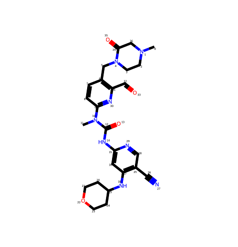 CN1CCN(Cc2ccc(N(C)C(=O)Nc3cc(NC4CCOCC4)c(C#N)cn3)nc2C=O)C(=O)C1